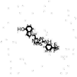 Oc1cccc2c1ccn2Cc1nnc2sc(Nc3cccc(C(F)(F)F)c3)nn12